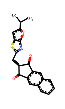 CC(C)c1cc2sc(C=C3C(=O)c4cc5ccccc5cc4C3=O)nc2o1